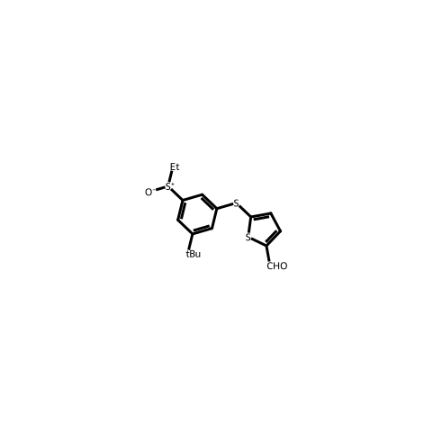 CC[S+]([O-])c1cc(Sc2ccc(C=O)s2)cc(C(C)(C)C)c1